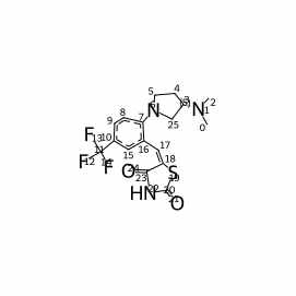 CN(C)[C@H]1CCN(c2ccc(C(F)(F)F)cc2C=C2SC(=O)NC2=O)C1